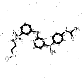 COCCNS(=O)(=O)c1cccc(Nc2nccc(N(C)c3ccc(NC(C)=O)cc3)n2)c1